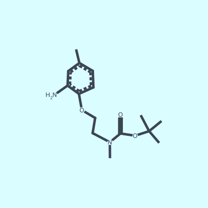 Cc1ccc(OCCN(C)C(=O)OC(C)(C)C)c(N)c1